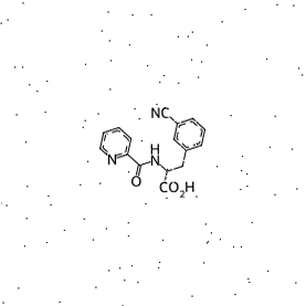 N#Cc1cccc(CC(NC(=O)c2ccccn2)C(=O)O)c1